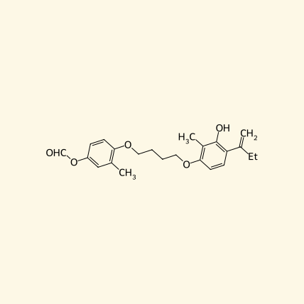 C=C(CC)c1ccc(OCCCCOc2ccc(OC=O)cc2C)c(C)c1O